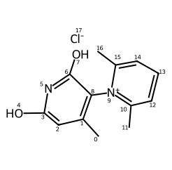 Cc1cc(O)nc(O)c1-[n+]1c(C)cccc1C.[Cl-]